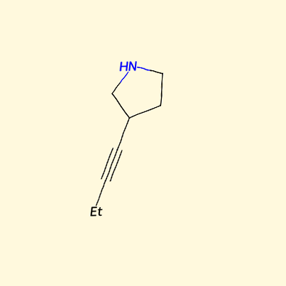 CCC#CC1CCNC1